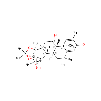 [2H]C1=C[C@@]2(C)C(=CC1=O)C([2H])([2H])C[C@@H]1[C@@H]2[C@@H](O)C[C@@]2(C)[C@H]1C[C@H]1OC([2H])(CCC)O[C@]12C(=O)C([2H])([2H])O